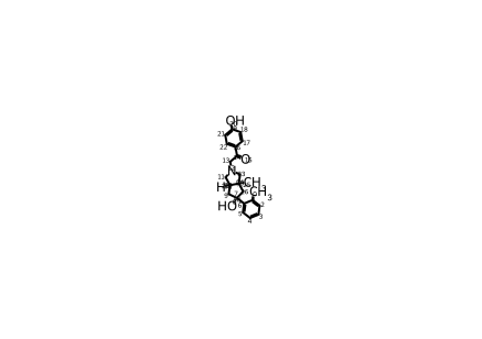 Cc1ccccc1[C@@]1(O)C[C@@H]2CN(CC(=O)c3ccc(O)cc3)C[C@]2(C)C1